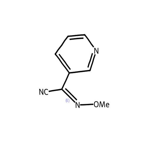 CO/N=C(/C#N)c1cccnc1